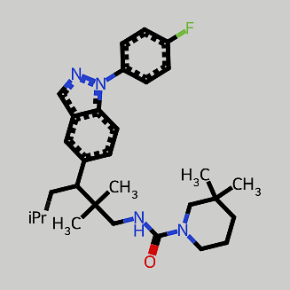 CC(C)CC(c1ccc2c(cnn2-c2ccc(F)cc2)c1)C(C)(C)CNC(=O)N1CCCC(C)(C)C1